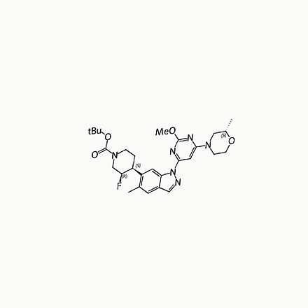 COc1nc(N2CCO[C@@H](C)C2)cc(-n2ncc3cc(C)c([C@@H]4CCN(C(=O)OC(C)(C)C)C[C@@H]4F)cc32)n1